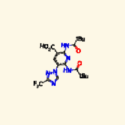 CC(C)(C)C(=O)Nc1nc(NC(=O)C(C)(C)C)c(-n2cnc(C(F)(F)F)n2)cc1C(=O)O